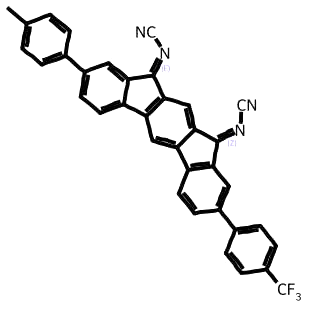 Cc1ccc(-c2ccc3c(c2)/c(=N\C#N)c2cc4/c(=N\C#N)c5cc(-c6ccc(C(F)(F)F)cc6)ccc5c4cc23)cc1